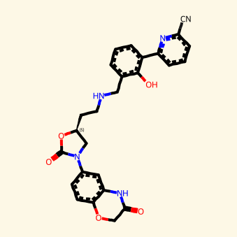 N#Cc1cccc(-c2cccc(CNCC[C@H]3CN(c4ccc5c(c4)NC(=O)CO5)C(=O)O3)c2O)n1